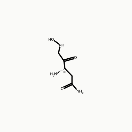 NC(=O)C[C@H](N)C(=O)CNO